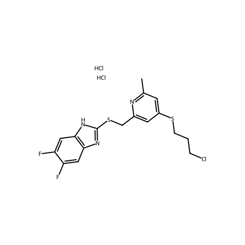 Cc1cc(SCCCCl)cc(CSc2nc3cc(F)c(F)cc3[nH]2)n1.Cl.Cl